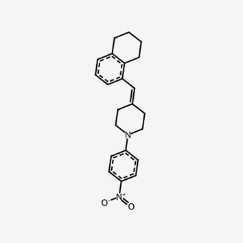 O=[N+]([O-])c1ccc(N2CCC(=Cc3cccc4c3CCCC4)CC2)cc1